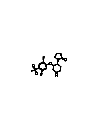 CS(=O)(=O)c1cc(F)c(OC2CNCCC2N2CCCC2=O)cc1F